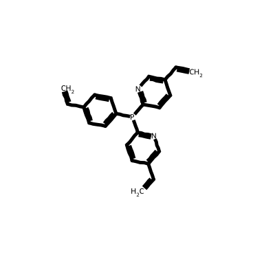 C=Cc1ccc(P(c2ccc(C=C)cn2)c2ccc(C=C)cn2)cc1